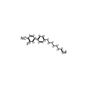 N#Cc1ccc(-c2ccc(CCCCCC/C=C/F)cc2)cc1F